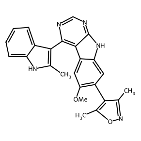 COc1cc2c(cc1-c1c(C)noc1C)[nH]c1ncnc(-c3c(C)[nH]c4ccccc34)c12